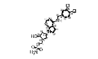 NS(=O)(=O)OC[C@@H]1C[C@@H](n2ccc3c(NCc4ccc(Cl)c(Cl)c4)ncnc32)C[C@@H]1O